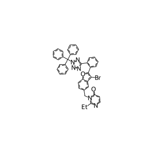 CCc1nccc(=O)n1Cc1ccc2oc(-c3ccccc3-c3nnn(C(c4ccccc4)(c4ccccc4)c4ccccc4)n3)c(Br)c2c1